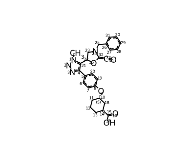 Cn1nnc(-c2ccc(O[C@H]3CCC[C@H](C(=O)O)C3)cc2)c1C1CN(Cc2ccccc2)C(=C=O)O1